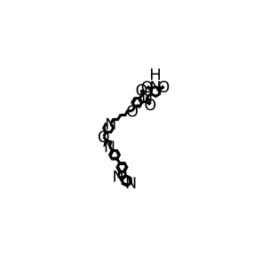 Cn1c2ccncc2c2ccc(-c3ccc(N4CC(OC5CCN(CCCCCOc6ccc7c(c6)C(=O)N(C6CCC(=O)NC6=O)C7=O)CC5)C4)cc3)cc21